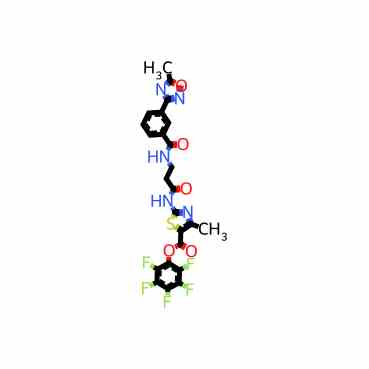 Cc1nc(-c2cccc(C(=O)NCCC(=O)Nc3nc(C)c(C(=O)Oc4c(F)c(F)c(F)c(F)c4F)s3)c2)no1